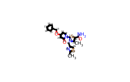 CC1=C(C(N)=O)SC(n2ccc(OCc3ccccc3)cc2=O)N1Cc1csc(C)n1